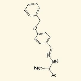 CC(=O)C(C#N)NN=Cc1ccc(OCc2ccccc2)cc1